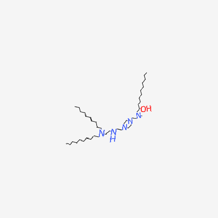 CCCCCCCCCCC(O)CN(C)CCN1CCN(CCNCCN(CCCCCCCCCC)CCCCCCCCCC)CC1